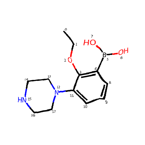 CCOc1c(B(O)O)cccc1N1CCNCC1